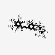 Cc1cc(/C=C/C(=O)c2c(C)c(C)c(C)c(C)c2C)cc(C)c1OC(C)(C)C(=O)OC(C)(C)C